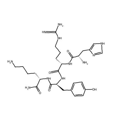 N=C(N)NCCC[C@H](NC(=O)[C@@H](N)Cc1c[nH]cn1)C(=O)N[C@@H](Cc1ccc(O)cc1)C(=O)N[C@@H](CCCCN)C(N)=O